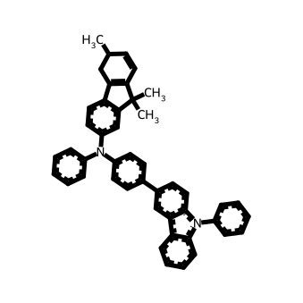 CC1C=CC2=C(C1)c1ccc(N(c3ccccc3)c3ccc(-c4ccc5c(c4)c4ccccc4n5-c4ccccc4)cc3)cc1C2(C)C